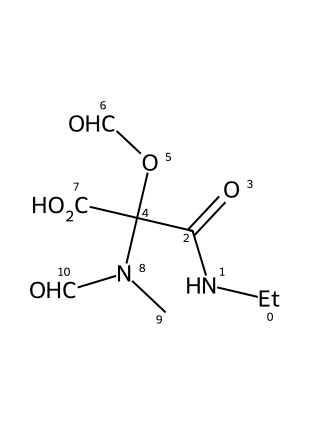 CCNC(=O)C(OC=O)(C(=O)O)N(C)C=O